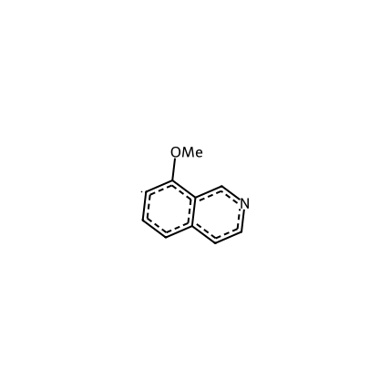 COc1[c]ccc2ccncc12